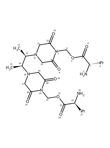 CC(C)[C@H](N)C(=O)OCN1C(=O)CN([C@H](C)[C@H](C)N2CC(=O)N(COC(=O)[C@@H](N)C(C)C)C(=O)C2)CC1=O